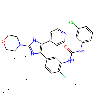 O=C(Nc1cccc(Cl)c1)Nc1cc(-c2nc(N3CCOCC3)[nH]c2-c2ccncc2)ccc1F